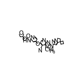 Cn1c(Nc2cc3n(n2)CCC32CCC2)nc2ncc(Oc3ccnc(NC(=O)OC4CCOC4)c3)c(C#N)c21